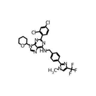 Cn1cc(C(F)(F)F)nc1-c1ccc(CNc2nc(-c3ccc(Cl)cc3Cl)nc3c2ncn3C2CCCCO2)cc1